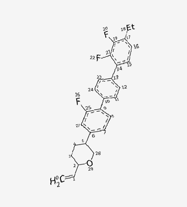 C=CC1CCC(c2ccc(-c3ccc(-c4ccc(CC)c(F)c4F)cc3)c(F)c2)CO1